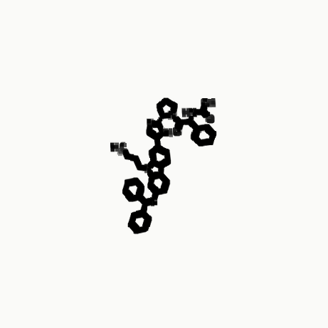 CCCCn1c2cc(N=C(c3ccccc3)c3ccccc3)ccc2c2ccc(-c3cnc([C@@H]4CCCN4C(=O)[C@H](NC(=O)O)c4ccccc4)[nH]3)cc21